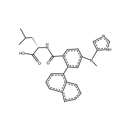 CC(C)C[C@H](NC(=O)c1ccc(N(C)c2cnc[nH]2)cc1-c1cccc2ccccc12)C(=O)O